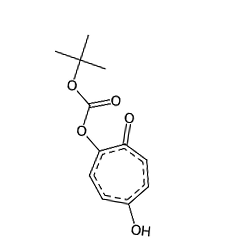 CC(C)(C)OC(=O)Oc1ccc(O)ccc1=O